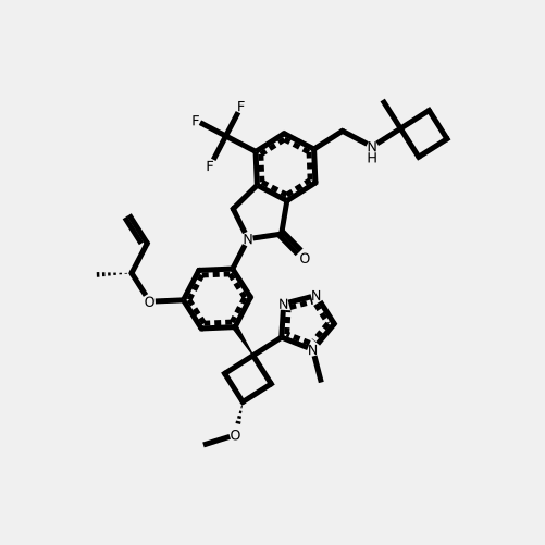 C=C[C@@H](C)Oc1cc(N2Cc3c(cc(CNC4(C)CCC4)cc3C(F)(F)F)C2=O)cc([C@]2(c3nncn3C)C[C@@H](OC)C2)c1